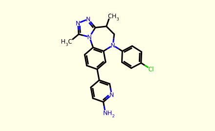 Cc1nnc2n1-c1ccc(-c3ccc(N)nc3)cc1N(c1ccc(Cl)cc1)CC2C